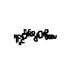 CC(C)(C)OC(=O)N1CCCN(C(=O)[C@@H]2CN(c3ccc(C#N)c(C(F)(F)F)c3)[C@@H](C(F)(F)F)O2)CC1